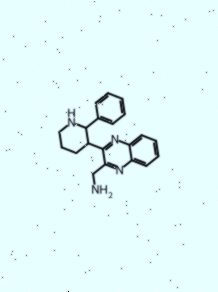 NCc1nc2ccccc2nc1C1CCCNC1c1ccccc1